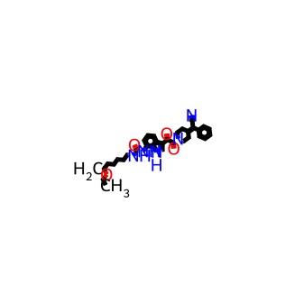 C=C(CCCCCNC(=O)Nc1cccc2c(C(=O)C(=O)N3CCC(=C(C#N)c4ccccc4)CC3)c[nH]c12)OCC